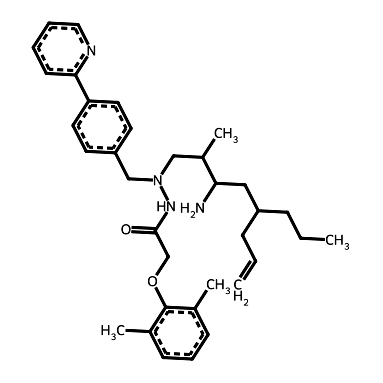 C=CCC(CCC)CC(N)C(C)CN(Cc1ccc(-c2ccccn2)cc1)NC(=O)COc1c(C)cccc1C